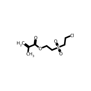 C=C(C)C(=O)OCCS(=O)(=O)CCCl